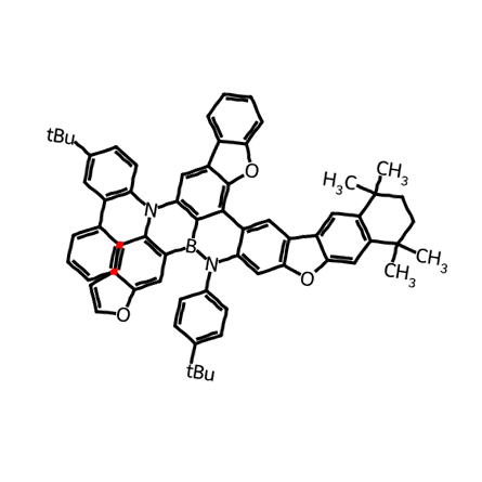 CC(C)(C)c1ccc(N2B3c4cc5occc5cc4N(c4ccc(C(C)(C)C)cc4-c4ccccc4)c4cc5c(oc6ccccc65)c(c43)-c3cc4c(cc32)oc2cc3c(cc24)C(C)(C)CCC3(C)C)cc1